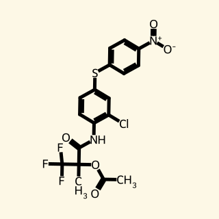 CC(=O)OC(C)(C(=O)Nc1ccc(Sc2ccc([N+](=O)[O-])cc2)cc1Cl)C(F)(F)F